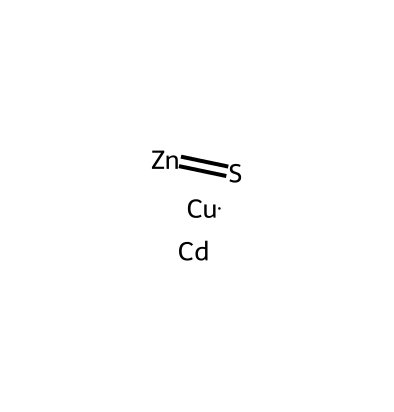 [Cd].[Cu].[S]=[Zn]